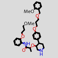 COCCCOc1ccccc1NC(=O)C(C)OC1CNCCC1c1ccc(OCCCOCc2ccccc2OC)cc1